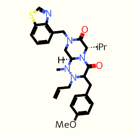 C=CCN1C(Cc2ccc(OC)cc2)C(=O)N2[C@@H](C(C)C)C(=O)N(Cc3cccc4scnc34)C[C@@H]2N1C